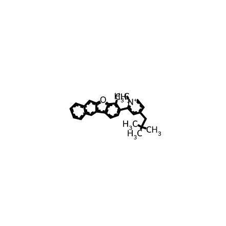 Cc1c(-c2cc(CC(C)(C)C)cc[n+]2C)ccc2c1oc1cc3ccccc3cc12